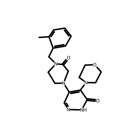 Cc1ccccc1CN1CCN(c2cn[nH]c(=O)c2N2CCOCC2)CC1=O